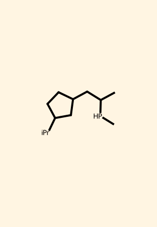 CPC(C)CC1CCC(C(C)C)C1